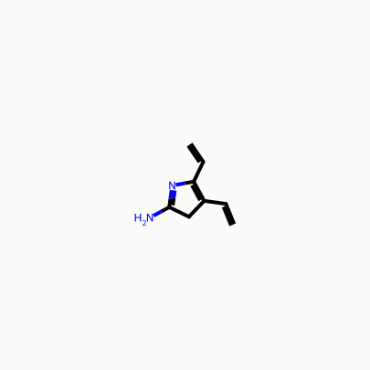 C=CC1=C(C=C)N=C(N)C1